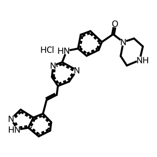 Cl.O=C(c1ccc(Nc2ncc(C=Cc3cccc4[nH]ncc34)cn2)cc1)N1CCNCC1